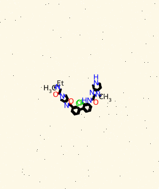 CCN(C)CC(=O)N1Cc2nc(-c3cccc(-c4cccc(NC(=O)c5nc6c(n5C)CCNC6)c4Cl)c3Cl)oc2C1